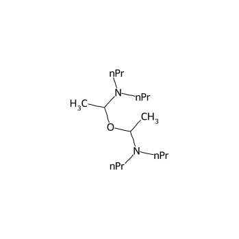 CCCN(CCC)C(C)OC(C)N(CCC)CCC